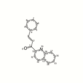 O=C(C=Cc1ccccc1)c1ccc2ccccc2n1